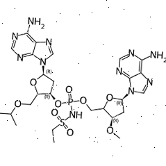 CCS(=O)(=O)NP(=O)(OCC1O[C@@H](n2cnc3c(N)ncnc32)C[C@H]1OC)O[C@@H]1C[C@H](n2cnc3c(N)ncnc32)OC1COC(C)C